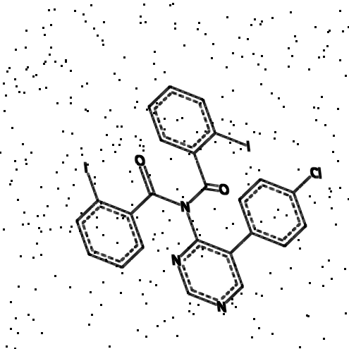 O=C(c1ccccc1I)N(C(=O)c1ccccc1I)c1ncncc1-c1ccc(Cl)cc1